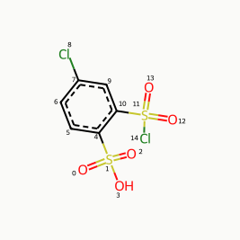 O=S(=O)(O)c1ccc(Cl)cc1S(=O)(=O)Cl